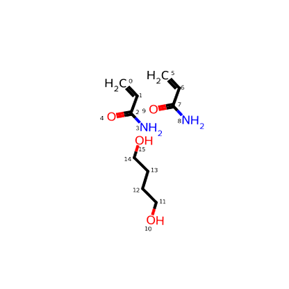 C=CC(N)=O.C=CC(N)=O.OCCCCO